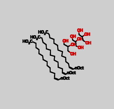 CCCCCCCC/C=C\CCCCCCCCCCCC(=O)O.CCCCCCCC/C=C\CCCCCCCCCCCC(=O)O.CCCCCCCC/C=C\CCCCCCCCCCCC(=O)O.OCC(O)CO.OCC(O)CO.OCC(O)CO